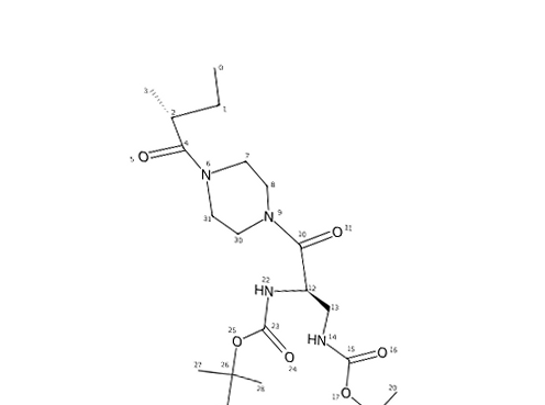 CC[C@@H](C)C(=O)N1CCN(C(=O)[C@@H](CNC(=O)OC(C)(C)C)NC(=O)OC(C)(C)C)CC1